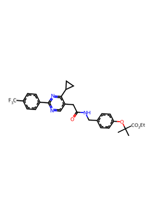 CCOC(=O)C(C)(C)Oc1ccc(CNC(=O)Cc2cnc(-c3ccc(C(F)(F)F)cc3)nc2C2CC2)cc1